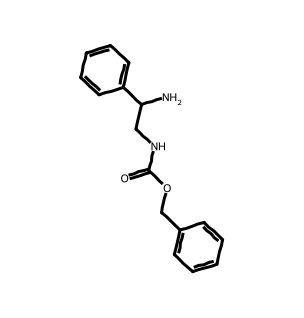 NC(CNC(=O)OCc1ccccc1)c1ccccc1